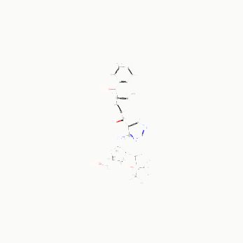 CC(C)[Si](O[C@H]1C[C@H](Nc2ncncc2C(=O)c2cc(C(O)c3cccc(Cl)c3)c(Cl)s2)C[C@@H]1CO)(C(C)C)C(C)C